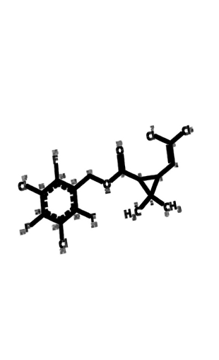 CC1(C)C(C=C(Cl)Cl)C1C(=O)OCc1c(F)c(Cl)c(F)c(Cl)c1F